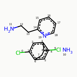 Clc1cc2ccc1CC2Cl.N.NCCc1ccccn1